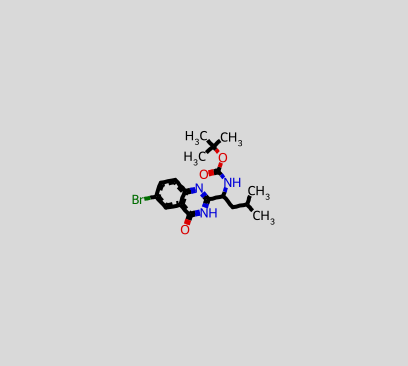 CC(C)CC(NC(=O)OC(C)(C)C)c1nc2ccc(Br)cc2c(=O)[nH]1